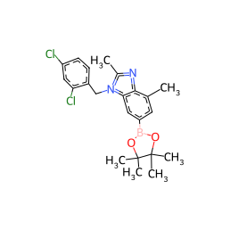 Cc1cc(B2OC(C)(C)C(C)(C)O2)cc2c1nc(C)n2Cc1ccc(Cl)cc1Cl